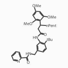 CCCCCC(CC(=O)Nc1cc(CNC(=O)c2ccccn2)ccc1C(C)(C)C)c1c(OC)cc(OC)cc1OC